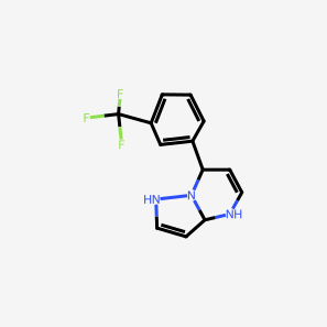 FC(F)(F)c1cccc(C2C=CNC3C=CNN32)c1